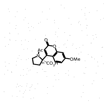 COc1ccc2c([C@@]3(C(=O)O)CCCN3C(C)=O)cc(=O)oc2c1